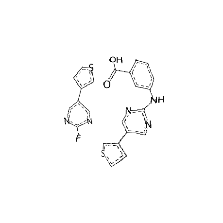 Fc1ncc(-c2ccsc2)cn1.O=C(O)c1cccc(Nc2ncc(-c3ccsc3)cn2)c1